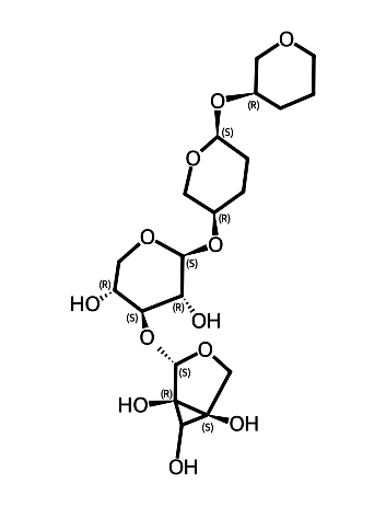 OC1[C@@]2(O)CO[C@@H](O[C@@H]3[C@@H](O)[C@H](O[C@@H]4CC[C@H](O[C@@H]5CCCOC5)OC4)OC[C@H]3O)[C@@]12O